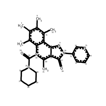 Cc1c(C)c(C)c2c(c3nn(-c4cccnc4)c(=O)c-3c(C)n2C(=O)N2CCCCC2)c1C